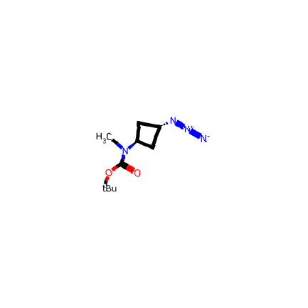 CN(C(=O)OC(C)(C)C)[C@H]1C[C@H](N=[N+]=[N-])C1